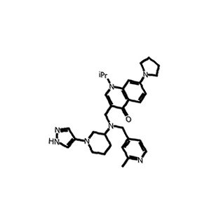 Cc1cc(CN(Cc2cn(C(C)C)c3cc(N4CCCC4)ccc3c2=O)C2CCCN(c3cn[nH]c3)C2)ccn1